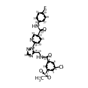 CS(=O)(=O)c1cc(Cl)cc(C(=O)NCc2ncnn2-c2ccc(C(=O)Nc3ccc(F)cc3)cn2)c1